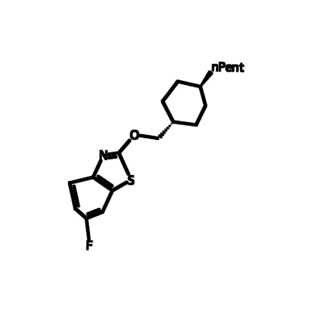 CCCCC[C@H]1CC[C@H](COc2nc3ccc(F)cc3s2)CC1